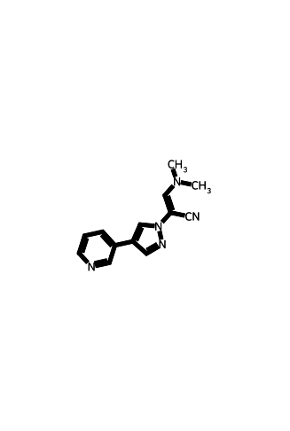 CN(C)C=C(C#N)n1cc(-c2cccnc2)cn1